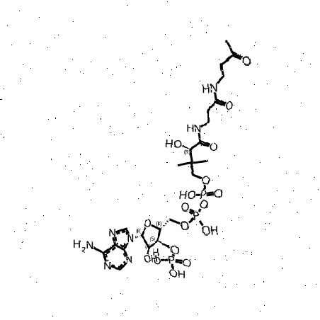 CC(=O)CCNC(=O)CCNC(=O)[C@H](O)C(C)(C)COP(=O)(O)OP(=O)(O)OC[C@H]1O[C@@H](n2cnc3c(N)ncnc32)[C@H](O)[C@@H]1OP(=O)(O)O